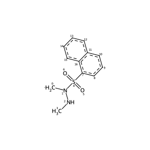 [CH2]N(NC)S(=O)(=O)c1cccc2ccccc12